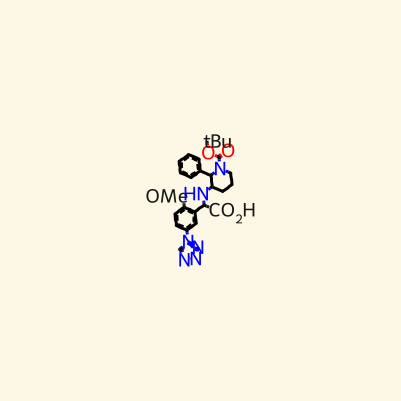 COc1ccc(-n2cnnn2)cc1C(NC1CCCN(C(=O)OC(C)(C)C)C1c1ccccc1)C(=O)O